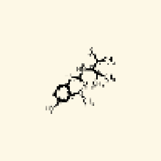 COc1cc(C)ccc1NC(=O)NC(C(C)C)C(C)C